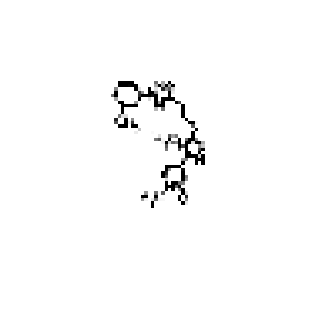 Cc1cccc(-n2nnc(CCSc3nnc(-c4ccn(C)c(=O)c4)n3C)n2)c1